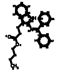 CCCCOC(=O)CCc1c(N=C(c2ccccc2)c2ccccc2)[nH]c2ccccc12